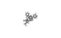 FC(F)(F)c1ccccc1-c1nc(Nc2cc(C3CC3)[nH]n2)nc(-c2ccncc2)n1